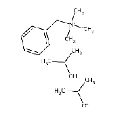 CC(C)O.CC(C)[O-].C[N+](C)(C)Cc1ccccc1